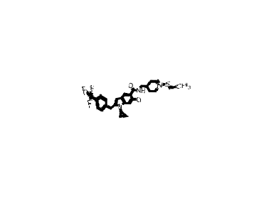 CCSN1CCC(CNC(=O)c2cc3cc(Cc4ccc(C(F)(F)F)cc4)n(C4CC4)c3cc2Cl)CC1